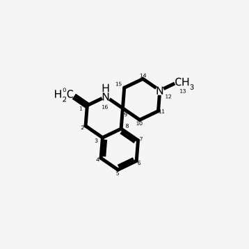 C=C1Cc2ccccc2C2(CCN(C)CC2)N1